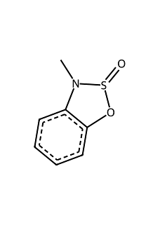 CN1c2ccccc2OS1=O